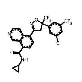 O=C(NC1CC1)c1ccc(C2=NOC(c3cc(Cl)cc(C(F)(F)F)c3)(C(F)(F)F)C2)c2ccncc12